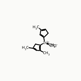 [CH2]=[Zr+2]([C]1=CC(C)=CC1)[C]1=C(C)C=C(C)C1.[Cl-].[Cl-]